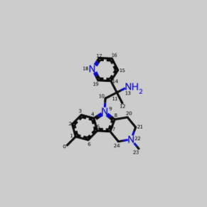 Cc1ccc2c(c1)c1c(n2CC(C)(N)c2cccnc2)CCN(C)C1